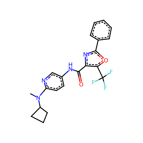 CN(c1ccc(NC(=O)c2nc(-c3ccccc3)oc2C(F)(F)F)cn1)C1CCC1